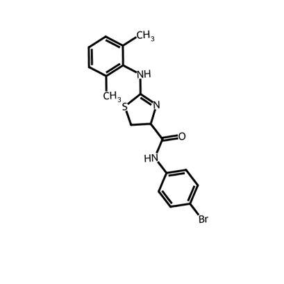 Cc1cccc(C)c1NC1=NC(C(=O)Nc2ccc(Br)cc2)CS1